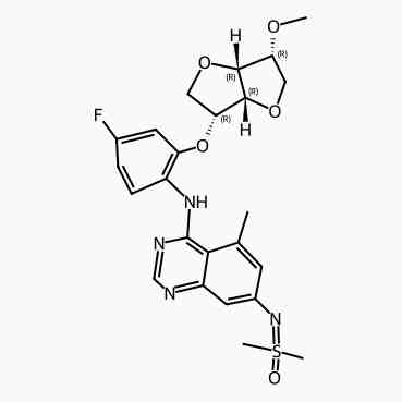 CO[C@@H]1CO[C@H]2[C@@H]1OC[C@H]2Oc1cc(F)ccc1Nc1ncnc2cc(N=S(C)(C)=O)cc(C)c12